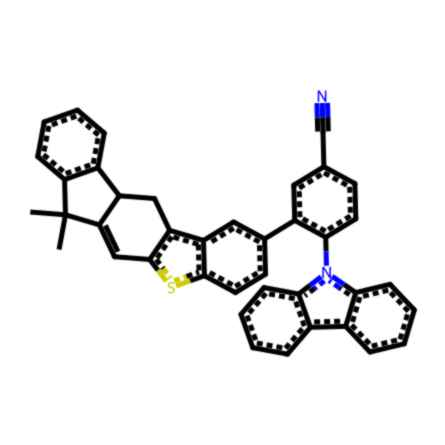 CC1(C)C2=Cc3sc4ccc(-c5cc(C#N)ccc5-n5c6ccccc6c6ccccc65)cc4c3CC2c2ccccc21